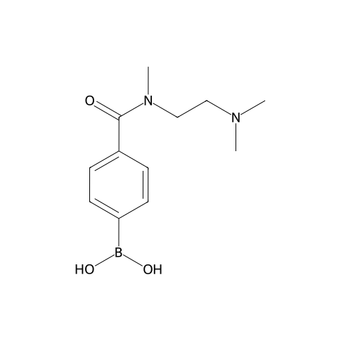 CN(C)CCN(C)C(=O)c1ccc(B(O)O)cc1